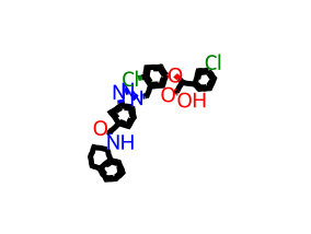 O=C(NC1CCCc2ccccc21)c1ccc2c(c1)nnn2Cc1cc(OC(C(=O)O)c2cccc(Cl)c2)ccc1Cl